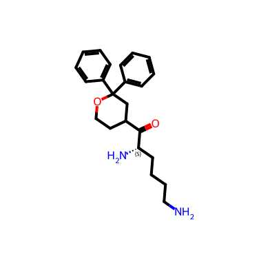 NCCCC[C@H](N)C(=O)C1CCOC(c2ccccc2)(c2ccccc2)C1